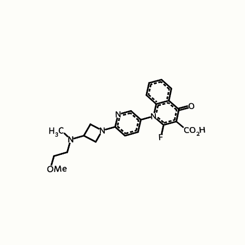 COCCN(C)C1CN(c2ccc(-n3c(F)c(C(=O)O)c(=O)c4ccccc43)cn2)C1